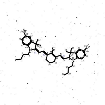 CCCCN1/C(=C/C=C2\CCCC(/C=C/C3N(CCCC)c4ccc(Br)cc4C3(C)C)=C2Cl)C(C)(C)c2cc(Br)ccc21